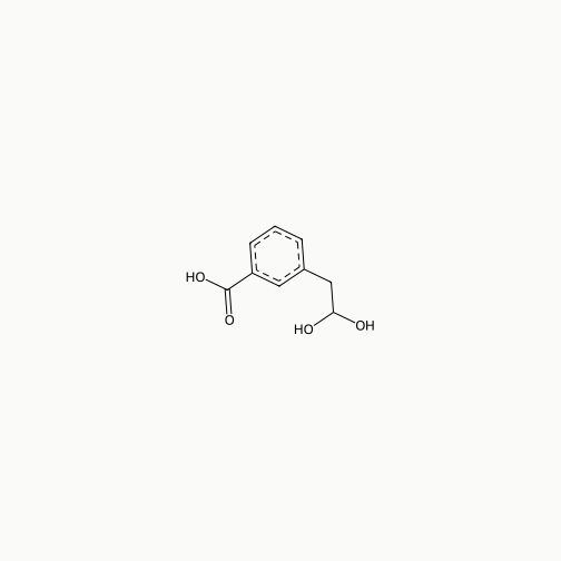 O=C(O)c1cccc(CC(O)O)c1